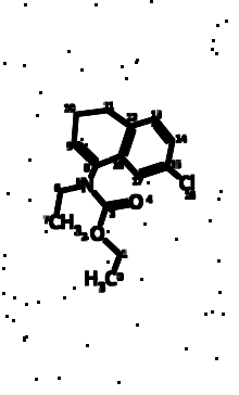 CCOC(=O)N(CC)C1=CCCc2ccc(Cl)cc21